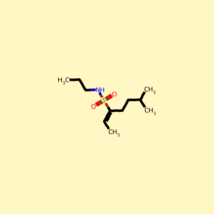 C/C=C(\CCC(C)C)S(=O)(=O)NCCC